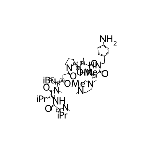 CC[C@H](C)[C@@H]([C@@H](CC(=O)N1CCC[C@H]1[C@H](OC)[C@@H](C)C(=O)N[C@@H](CN1CCN(C)CC1)C(=O)NCc1ccc(N)cc1)OC)N(C)C(=O)[C@@H](NC(=O)[C@H](C(C)C)N(C)C)C(C)C